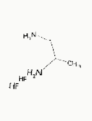 CC(N)CN.F.F